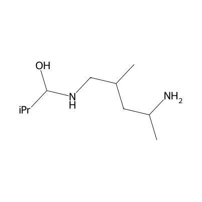 CC(N)CC(C)CNC(O)C(C)C